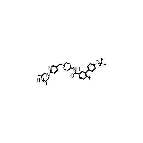 CC1CN(c2ccc(CN3CCC(NC(=O)c4ccc(F)c(-c5ccc(OC(F)(F)F)cc5)c4)CC3)cn2)CC(C)N1